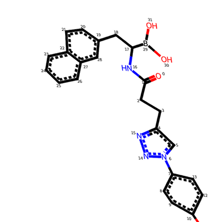 O=C(CCc1cn(-c2ccc(O)cc2)nn1)NC(Cc1ccc2ccccc2c1)B(O)O